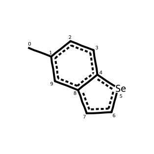 Cc1ccc2[se]ccc2c1